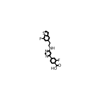 O=C(O)c1ccc(-c2cc(NCCc3cc(F)c4sccc4c3)ncn2)cc1F